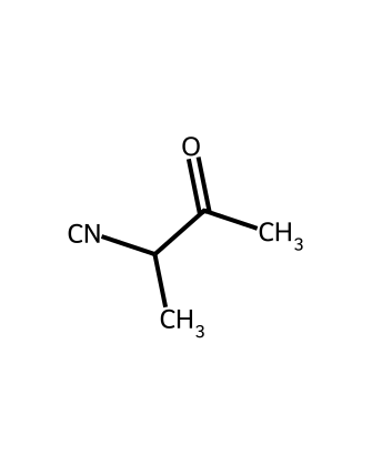 [C-]#[N+]C(C)C(C)=O